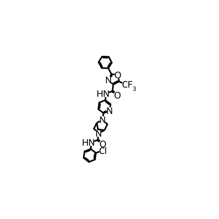 O=C(Nc1ccc(N2CC3CC2CN3C(=O)Nc2ccccc2Cl)nc1)c1nc(-c2ccccc2)oc1C(F)(F)F